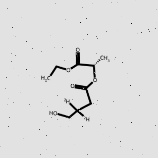 [2H]C([2H])(CO)CC(=O)O[C@@H](C)C(=O)OCC